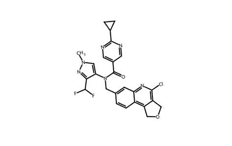 Cn1cc(N(Cc2ccc3c4c(c(Cl)nc3c2)COC4)C(=O)c2cnc(C3CC3)nc2)c(C(F)F)n1